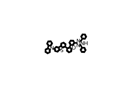 N=C(/N=C(\N=C\c1ccccc1)c1cccc2c1oc1cccc(-c3cccc4c3sc3ccc(-n5c6ccccc6c6ccccc65)cc34)c12)c1ccccc1